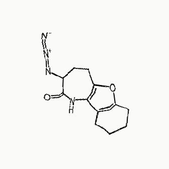 [N-]=[N+]=NC1CCc2oc3c(c2NC1=O)CCCC3